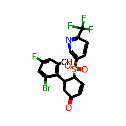 Cc1cc(F)cc(Br)c1C1CC(=O)C=CC1S(=O)(=O)c1ccc(C(F)(F)F)nc1